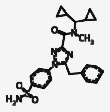 CN(C(=O)c1nc(Cc2ccccc2)n(-c2ccc(S(N)(=O)=O)cc2)n1)C(C1CC1)C1CC1